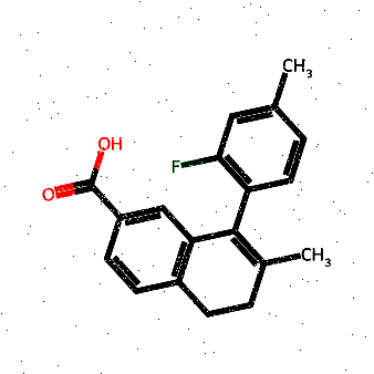 CC1=C(c2ccc(C)cc2F)c2cc(C(=O)O)ccc2CC1